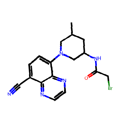 CC1CC(NC(=O)CBr)CN(c2ccc(C#N)c3nccnc23)C1